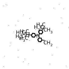 C=Cc1cccc(N(c2ccc(C(C)(C)CC)cc2)c2ccc(C(CC)(CC)C(CC)CC)cc2)c1